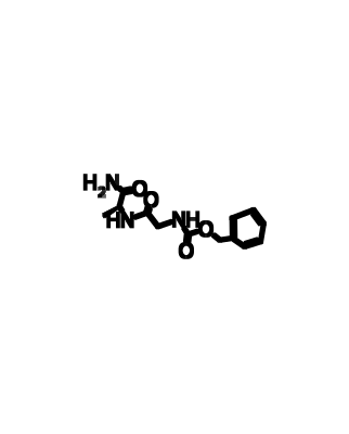 C[C@H](NC(=O)CNC(=O)OCc1ccccc1)C(N)=O